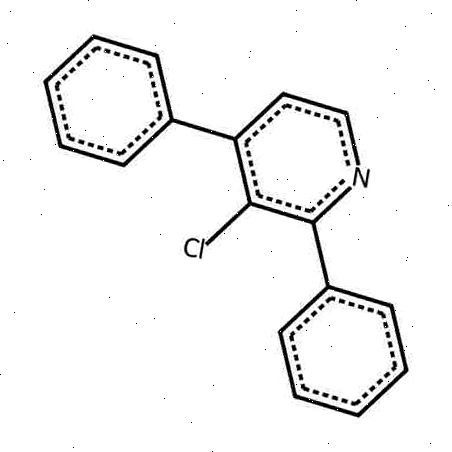 Clc1c(-c2ccccc2)ccnc1-c1ccccc1